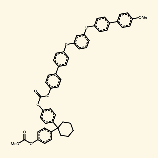 COC(=O)Oc1ccc(C2(c3ccc(OC(=O)Oc4ccc(-c5ccc(Oc6cccc(Oc7ccc(-c8ccc(OC)cc8)cc7)c6)cc5)cc4)cc3)CCCCC2)cc1